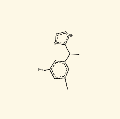 Cc1cc(F)cc(C(C)c2ncc[nH]2)c1